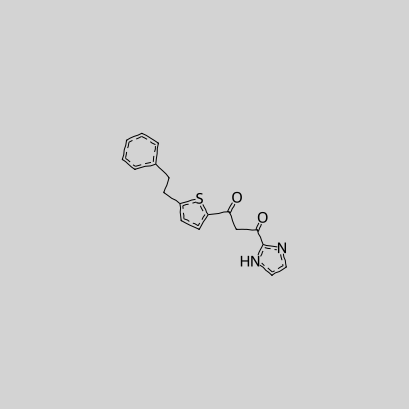 O=C(CC(=O)c1ccc(CCc2ccccc2)s1)c1ncc[nH]1